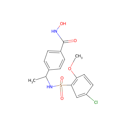 COc1ccc(Cl)cc1S(=O)(=O)NC(C)c1ccc(C(=O)NO)cc1